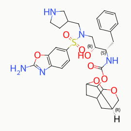 Nc1nc2ccc(S(=O)(=O)N(CC3CCNC3)C[C@@H](O)[C@H](Cc3ccccc3)NC(=O)OC3C4CC5C[C@@H]3COC5O4)cc2o1